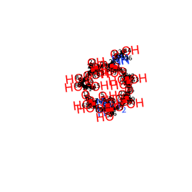 CCC(N)C(=O)NCC1OC2OC3C(CO)OC(OC4C(CO)OC(OC5C(CNC(=O)C(CO)NC)OC(OC6C(CO)OC(OC7C(CO)OC(OC8C(CO)OC(OC1C(O)C2O)C(O)C8O)C(O)C7O)C(O)C6O)C(O)C5O)C(O)C4O)C(O)C3O